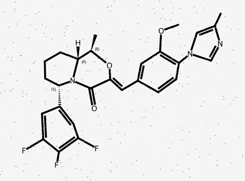 COc1cc(C=C2O[C@H](C)[C@H]3CCC[C@@H](c4cc(F)c(F)c(F)c4)N3C2=O)ccc1-n1cnc(C)c1